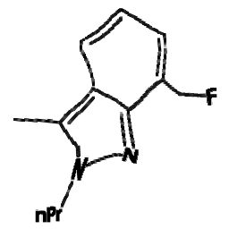 CCCn1nc2c(F)cccc2c1C